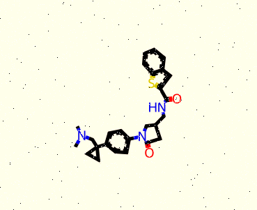 CN(C)CC1(c2ccc(N3CC(CNC(=O)c4cc5ccccc5s4)CC3=O)cc2)CC1